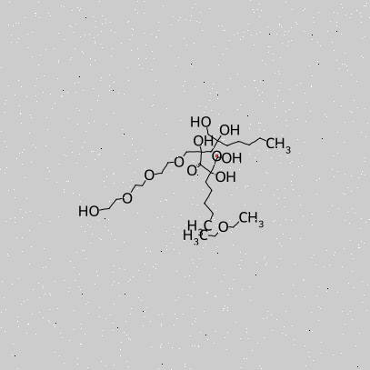 CCCCCC(O)(CO)C(=O)C(O)(COCCOCCOCCO)C(=O)C(O)(CO)CCCCC.CCOCC